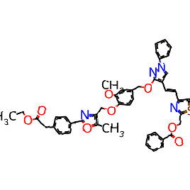 CCOC(=O)Cc1ccc(-c2nc(COc3ccc(COc4nn(-c5ccccc5)cc4C=Cc4csc(COC(=O)c5ccccc5)n4)cc3OC)c(C)o2)cc1